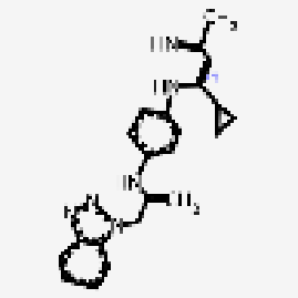 C=C(Cn1nnc2ccccc21)Nc1ccc(N/C(=C\C(C)=N)C2CC2)cc1